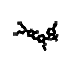 CCOc1cc(C=C2SC(N(CCO)CCO)=NC2=O)ccc1Oc1ccc(C#N)cc1C(F)(F)F